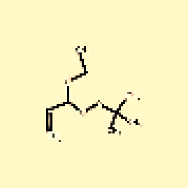 C=CC(OCC)OOC(C)(C)C